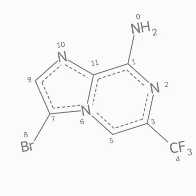 Nc1nc(C(F)(F)F)cn2c(Br)cnc12